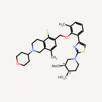 CO[C@H]1CN(c2nc(-c3cccc(C)c3OCc3cc(C)c4c(c3F)CCN(C3CCOCC3)C4)cs2)CC[C@H]1C(=O)O